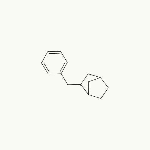 c1ccc(C[C]2CC3CCC2C3)cc1